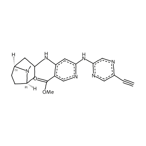 C#Cc1cnc(Nc2cc(NC3C[C@H]4CC[C@@H](C3)N4C)c(C(=O)OC)cn2)cn1